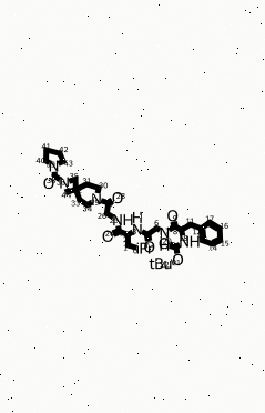 CC(C)CC(NC(=O)CNC(=O)C(Cc1ccccc1)NC(=O)OC(C)(C)C)C(=O)NCC(=O)N1CCC2(CC1)CN(C(=O)N1CCCC1)C2